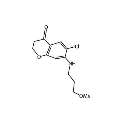 COCCCNc1cc2c(cc1Cl)C(=O)CCO2